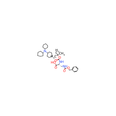 C1CCC(N(C2CCCCC2)C2CCCCC2)CC1.CC(C)(C)OC(=O)N[C@H](CNC(=O)OCc1ccccc1)C(=O)O